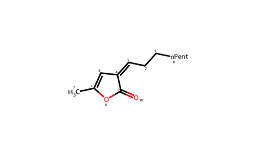 CCCCCCCC=C1C=C(C)OC1=O